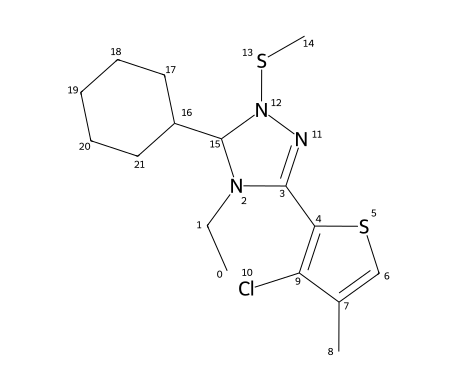 CCN1C(c2scc(C)c2Cl)=NN(SC)C1C1CCCCC1